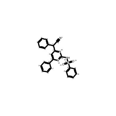 N#CC(c1ccccc1)c1cc(-c2ccccc2)nc(NS(=O)(=O)c2ccccc2)n1